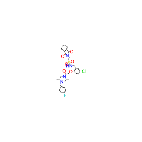 CC1CN(C(=O)COc2ccc(Cl)cc2CNS(=O)(=O)CCN2C(=O)c3ccccc3C2=O)C(C)CN1Cc1ccc(F)cc1